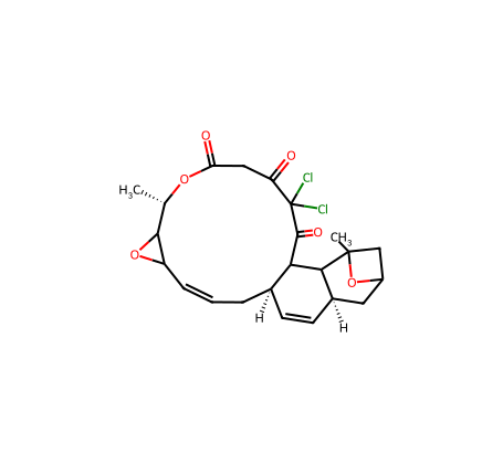 C[C@@H]1OC(=O)CC(=O)C(Cl)(Cl)C(=O)C2C3[C@H](C=C[C@H]2C/C=C\C2OC21)CC1CC3(C)O1